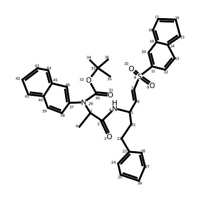 CC(C(=O)NC(C=CS(=O)(=O)c1ccc2ccccc2c1)CCc1ccccc1)N(C(=O)OC(C)(C)C)c1ccc2ccccc2c1